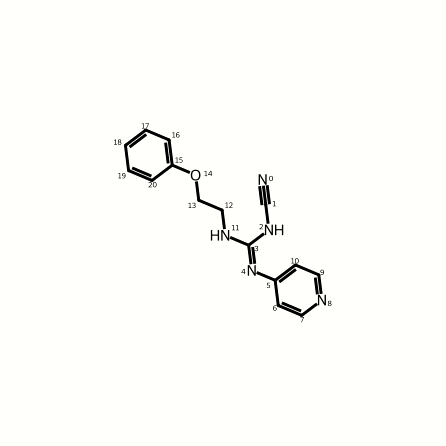 N#CNC(=Nc1ccncc1)NCCOc1ccccc1